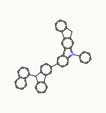 c1ccc(-n2c3ccc(-c4ccc5c(c4)-c4ccccc4C5c4cccc5ccccc45)cc3c3cc4c(cc32)Cc2ccccc2-4)cc1